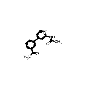 CC(=O)Nc1cc(-c2cccc(C(C)=O)c2)ccn1